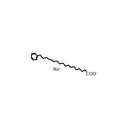 O=C([O-])CCCCCCCCCCCCCCCCCc1ccccc1.[Na+]